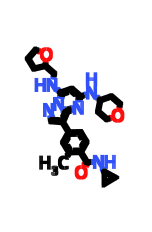 Cc1cc(-c2cnn3c(NCC4CCCO4)cc(NC4CCOCC4)nc23)ccc1C(=O)NC1CC1